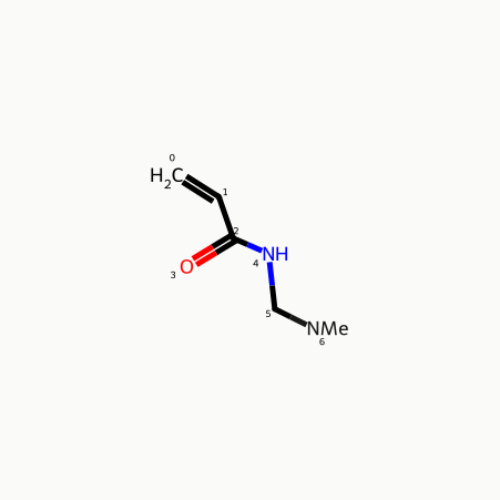 C=CC(=O)NCNC